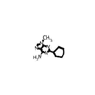 Cn1cnc2c(N)nc(C3CCCCC3)nc21